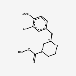 COc1ccc(C[C@@H]2CN(C(=O)OC(C)(C)C)CCO2)cc1C(C)=O